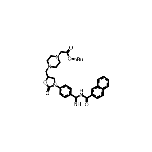 CCCCOC(=O)CN1CCN(CC2CN(c3ccc(C(=N)NC(=O)c4ccc5ccccc5c4)cc3)C(=O)O2)CC1